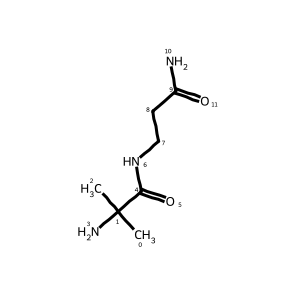 CC(C)(N)C(=O)NCCC(N)=O